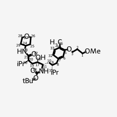 COCCCOc1cc(C[C@@H](C[C@H](NC(=O)OC(C)(C)C)[C@@H](O)C[C@H](C(=O)NC2CCOCC2)C(C)C)C(C)C)ccc1C